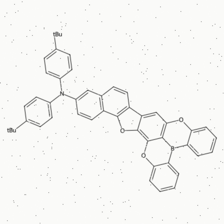 CC(C)(C)c1ccc(N(c2ccc(C(C)(C)C)cc2)c2ccc3c(ccc4c5cc6c7c(c5oc34)Oc3ccccc3B7c3ccccc3O6)c2)cc1